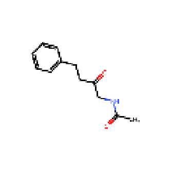 CC(=O)NCC(=O)CCc1ccccc1